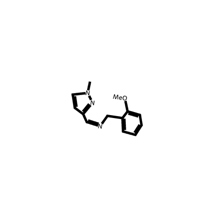 COc1ccccc1C/N=C\c1ccn(C)n1